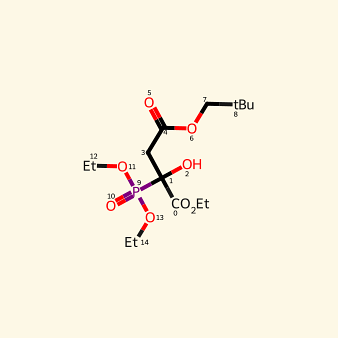 CCOC(=O)C(O)(CC(=O)OCC(C)(C)C)P(=O)(OCC)OCC